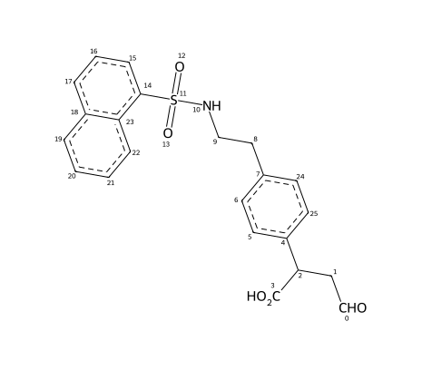 O=CCC(C(=O)O)c1ccc(CCNS(=O)(=O)c2cccc3ccccc23)cc1